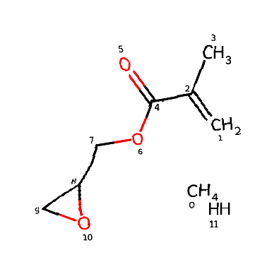 C.C=C(C)C(=O)OCC1CO1.[HH]